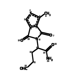 Cc1scc2c1C(=O)N(C(CCC=O)C(N)=O)C2=O